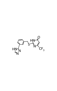 O=c1cc(C(F)(F)F)nc(SCc2cccc(-c3nnc[nH]3)c2)[nH]1